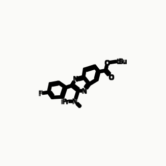 CC(C)N(C)c1nc2cc(C(=O)OC(C)(C)C)ccc2nc1-c1ccc(F)cc1